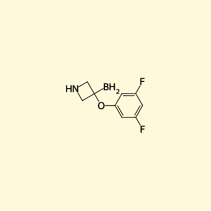 BC1(Oc2cc(F)cc(F)c2)CNC1